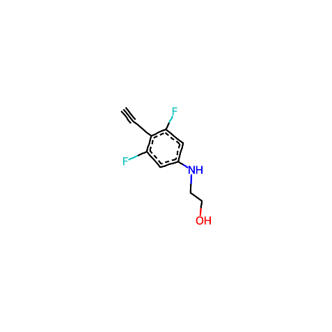 C#Cc1c(F)cc(NCCO)cc1F